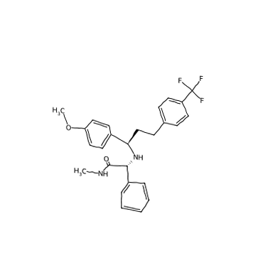 CNC(=O)[C@H](N[C@H](CCc1ccc(C(F)(F)F)cc1)c1ccc(OC)cc1)c1ccccc1